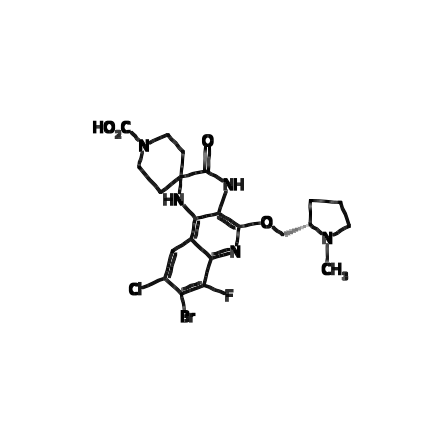 CN1CCC[C@H]1COc1nc2c(F)c(Br)c(Cl)cc2c2c1NC(=O)C1(CCN(C(=O)O)CC1)N2